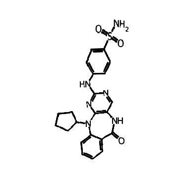 NS(=O)(=O)c1ccc(Nc2ncc3c(n2)N(C2CCCC2)c2ccccc2C(=O)N3)cc1